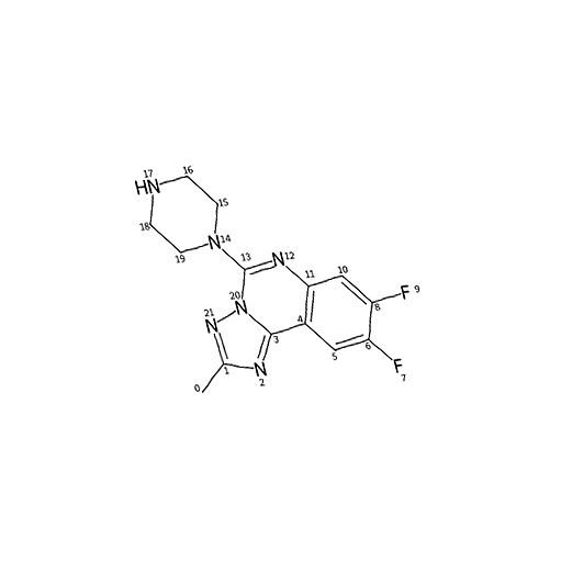 Cc1nc2c3cc(F)c(F)cc3nc(N3CCNCC3)n2n1